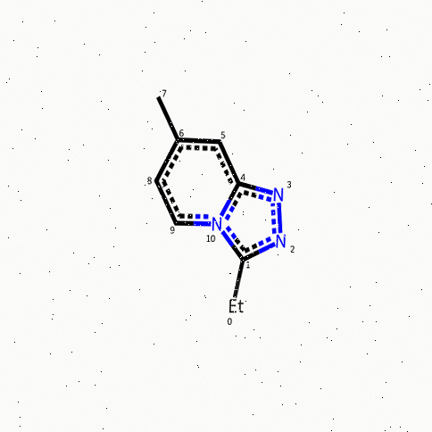 CCc1nnc2cc(C)ccn12